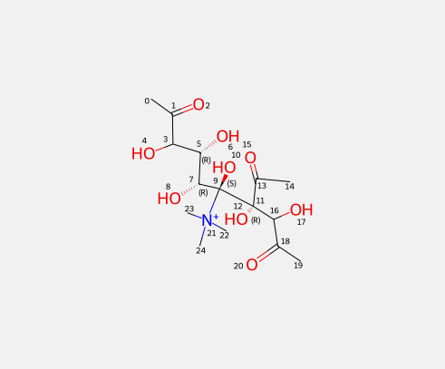 CC(=O)C(O)[C@H](O)[C@@H](O)[C@](O)([C@@](O)(C(C)=O)C(O)C(C)=O)[N+](C)(C)C